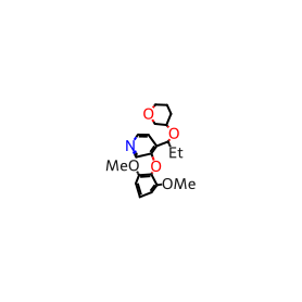 CCC(OC1CCCOC1)c1ccncc1Oc1c(OC)cccc1OC